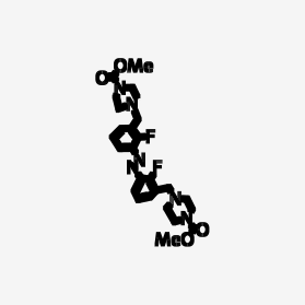 COC(=O)N1CCN(Cc2cccc(N=Nc3cccc(CN4CCN(C(=O)OC)CC4)c3F)c2F)CC1